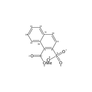 COC(=O)c1c(S(=O)(=O)Cl)ccc2ccccc12